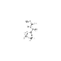 COC(=O)NC(C(C)=O)C1CC(C)(C)OC(C)(C)C1